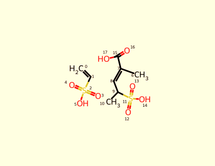 C=CS(=O)(=O)O.CC(=CC(C)S(=O)(=O)O)C(=O)O